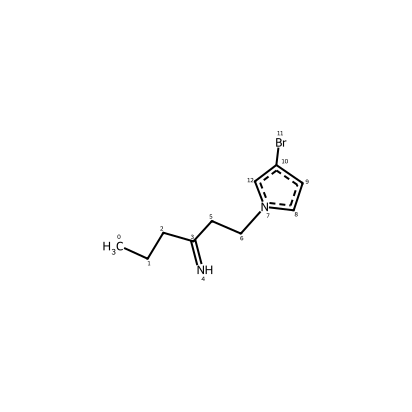 CCCC(=N)CCn1ccc(Br)c1